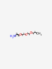 CCCOCCOCCO/C=C/N